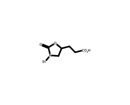 CCN1CC(CCC(=O)O)OC1=O